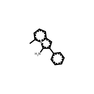 Cc1cccc2cc(-c3ccccc3)c(N)n12